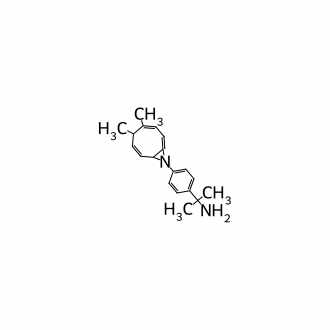 C/C1=C/C=C2\C(/C=C\C1C)N2c1ccc(C(C)(C)N)cc1